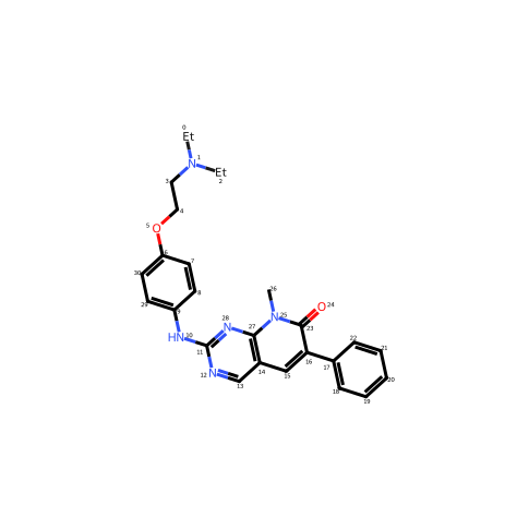 CCN(CC)CCOc1ccc(Nc2ncc3cc(-c4ccccc4)c(=O)n(C)c3n2)cc1